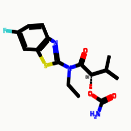 CCN(C(=O)[C@@H](OC(N)=O)C(C)C)c1nc2ccc(F)cc2s1